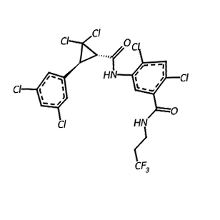 O=C(NCCC(F)(F)F)c1cc(NC(=O)[C@@H]2[C@@H](c3cc(Cl)cc(Cl)c3)C2(Cl)Cl)c(Cl)cc1Cl